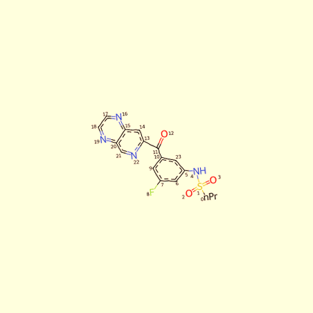 CCCS(=O)(=O)Nc1cc(F)cc(C(=O)c2cc3nccnc3cn2)c1